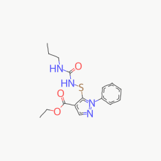 CCCNC(=O)NSc1c(C(=O)OCC)cnn1-c1ccccc1